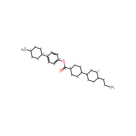 CCCC1CCC(C2CCC(C(=O)Oc3ccc(C4CCC(C)CC4)cc3)CC2)CC1